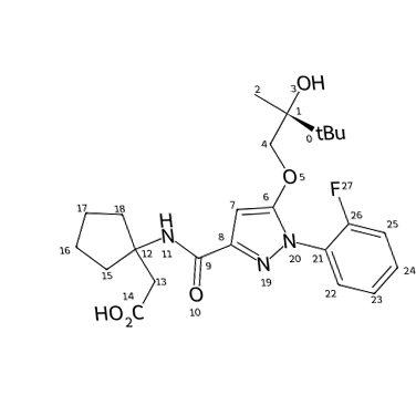 CC(C)(C)[C@@](C)(O)COc1cc(C(=O)NC2(CC(=O)O)CCCC2)nn1-c1ccccc1F